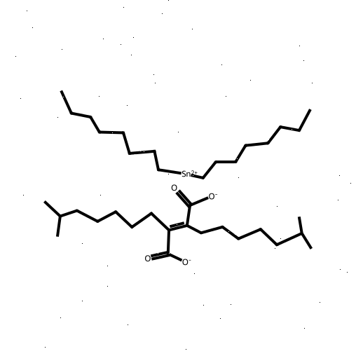 CC(C)CCCCCC(C(=O)[O-])=C(CCCCCC(C)C)C(=O)[O-].CCCCCCC[CH2][Sn+2][CH2]CCCCCCC